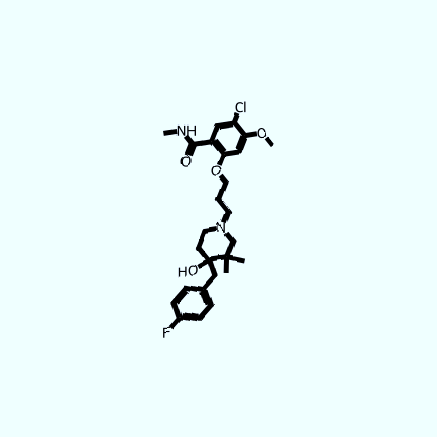 CNC(=O)c1cc(Cl)c(OC)cc1OCCCN1CCC(O)(Cc2ccc(F)cc2)C(C)(C)C1